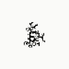 CCN(CC)C(=O)/C(C#N)=C/c1cc(OC(=O)C(C)C)c(O)c([N+](=O)[O-])c1